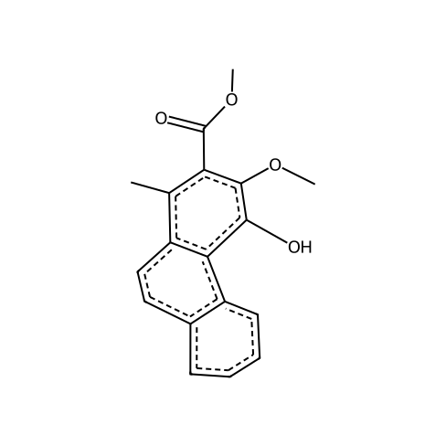 COC(=O)c1c(OC)c(O)c2c(ccc3ccccc32)c1C